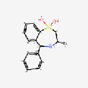 CCC1CS(O)(O)c2c[c]ccc2C(c2ccccc2)N1